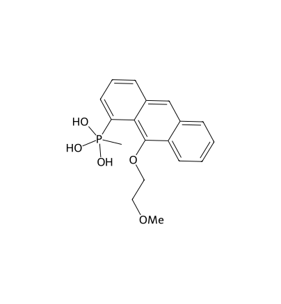 COCCOc1c2ccccc2cc2cccc(P(C)(O)(O)O)c12